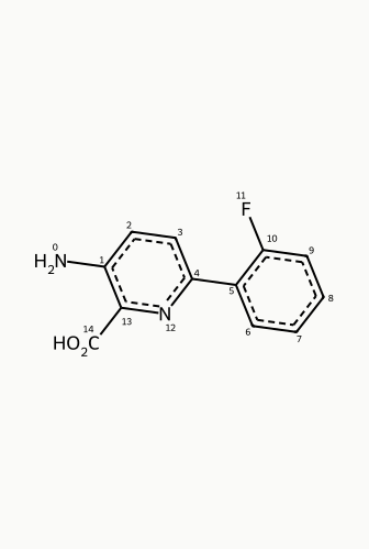 Nc1ccc(-c2ccccc2F)nc1C(=O)O